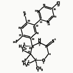 CC1(C)OCC(=S)N[C@](C)(c2cc(-c3ncc(Cl)cn3)c(F)cc2F)C1(F)F